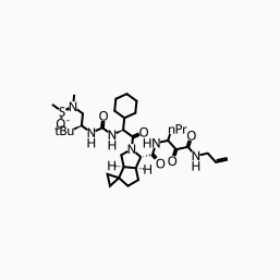 C=CCNC(=O)C(=O)C(CCC)NC(=O)[C@@H]1[C@H]2CCC3(CC3)[C@H]2CN1C(=O)[C@@H](NC(=O)N[C@H](CN(C)[S+](C)[O-])C(C)(C)C)C1CCCCC1